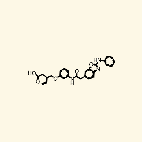 C=CC(COc1cccc(NC(=O)Cc2ccc3nc(Nc4ccccc4)oc3c2)c1)CC(=O)O